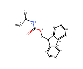 CC[C@@H](NC(=O)OCC1c2ccccc2-c2ccccc21)C(=O)O